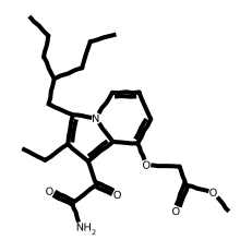 CCCC(CCC)Cc1c(CC)c(C(=O)C(N)=O)c2c(OCC(=O)OC)cccn12